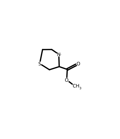 COC(=O)C1CSCC[N]1